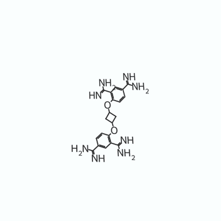 N=C(N)c1ccc(OC2CC(Oc3ccc(C(=N)N)cc3C(=N)N)C2)c(C(=N)N)c1